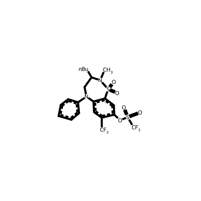 CCCCC1CN(c2ccccc2)c2cc(C(F)(F)F)c(OS(=O)(=O)C(F)(F)F)cc2S(=O)(=O)N1C